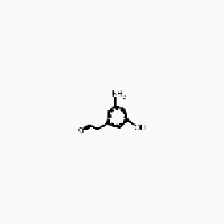 Nc1cc(O)cc(CC=O)c1